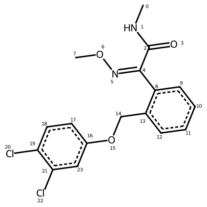 CNC(=O)/C(=N\OC)c1ccccc1COc1ccc(Cl)c(Cl)c1